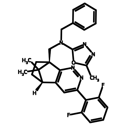 Cc1nnc(N(Cc2ccccc2)C[C@@]23CC[C@@H](c4cc(-c5c(F)cccc5F)nnc42)C3(C)C)o1